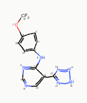 FC(F)(F)Oc1ccc(Nc2ncncc2-c2nn[nH]n2)cc1